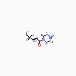 CCC(C)(C)/C=C/C(=O)N1CCN(C)CC1